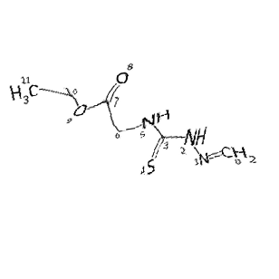 C=NNC(=S)NCC(=O)OCC